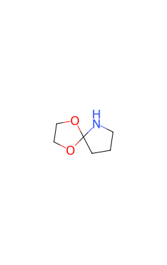 C1CNC2(C1)OCCO2